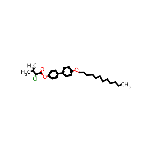 CCCCCCCCCCCCOc1ccc(-c2ccc(OC(=O)C(Cl)C(C)C)cc2)cc1